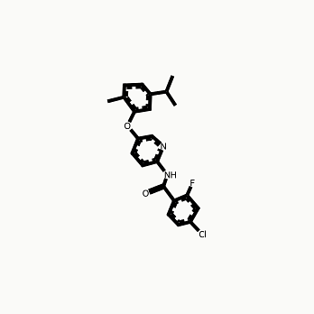 Cc1ccc(C(C)C)cc1Oc1ccc(NC(=O)c2ccc(Cl)cc2F)nc1